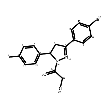 Cc1ccc(C2CC(c3ccc(Br)cc3)=NN2C(=O)CCl)cc1